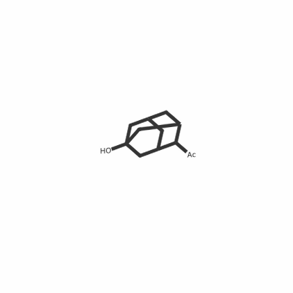 CC(=O)C1C2CC3CC1CC(O)(C3)C2